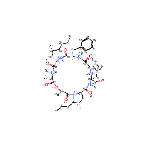 CCCC[C@@H](C)CC1NC(=O)[C@@H](C)OC(=O)[C@H](C)N(C)C(=O)[C@H](C[C@H](C)CCCC)NC(=O)[C@H](Cc2ccccc2)N(C)C(=O)[C@H](CC)N[C@](C=O)(CC(C)C)N(C)C1=O